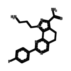 NCCCn1nc(C(N)=O)c2c1-c1nc(-c3ccc(F)cc3)ncc1CC2